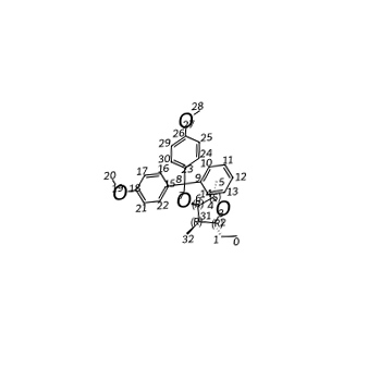 CC[C@H]1O[C@@H](C)[C@H](OC(c2ccccc2)(c2ccc(OC)cc2)c2ccc(OC)cc2)[C@@H]1C